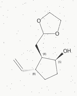 C=C[C@H]1CC[C@H](O)[C@@H]1CC1OCCO1